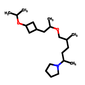 CC(CCC(C)N1CCCC1)COC(C)CC1CC(OC(C)C)C1